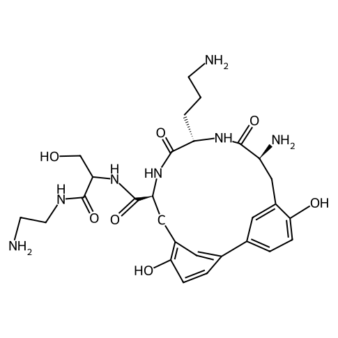 NCCC[C@@H]1NC(=O)[C@@H](N)Cc2cc(ccc2O)-c2ccc(O)c(c2)C[C@@H](C(=O)NC(CO)C(=O)NCCN)NC1=O